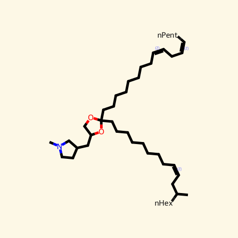 CCCCC/C=C\C/C=C\CCCCCCCCC1(CCCCCCCC/C=C\CC(C)CCCCCC)OCC(CC2CCN(C)C2)O1